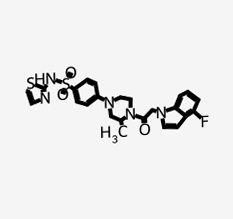 CC1CN(c2ccc(S(=O)(=O)Nc3nccs3)cc2)CCN1C(=O)Cn1ccc2c(F)cccc21